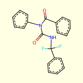 O=C(NC(F)(F)c1ccccc1)N(C(=O)c1ccccc1)c1ccccc1